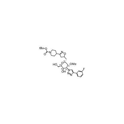 CO[C@@H]1[C@@H](n2cc(-c3cccc(F)c3)nn2)[C@@H](O)[C@@H](CO)O[C@@H]1CC1CC(C2CCN(C(=O)OC(C)(C)C)CC2)=NO1